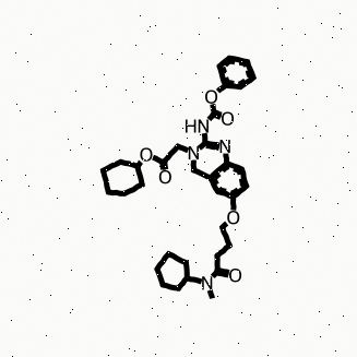 CN(C(=O)CCCOc1ccc2c(c1)CN(CC(=O)OC1CCCCC1)C(NC(=O)Oc1ccccc1)=N2)C1CCCCC1